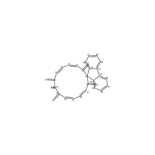 C=C1/C=C\C=C/C(=C)C2(C(=C)/C=C\C=C/C(=C)N1)c1ccccc1-c1ccccc12